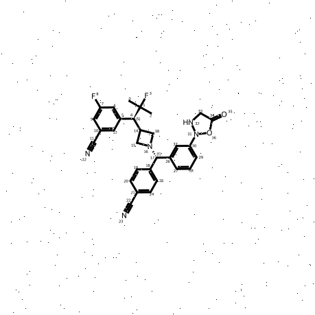 CC(C)(F)[C@H](c1cc(F)cc(C#N)c1)C1CN([C@@H](c2ccc(C#N)cc2)c2cccc(N3NCC(=O)O3)c2)C1